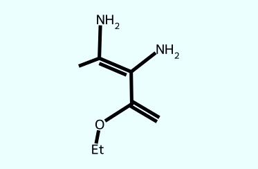 C=C(OCC)/C(N)=C(\C)N